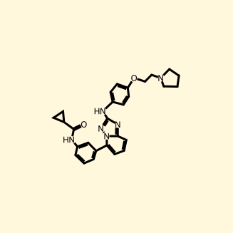 O=C(Nc1cccc(-c2cccc3nc(Nc4ccc(OCCN5CCCC5)cc4)nn23)c1)C1CC1